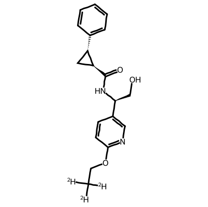 [2H]C([2H])([2H])COc1ccc([C@H](CO)NC(=O)[C@H]2C[C@@H]2c2ccccc2)cn1